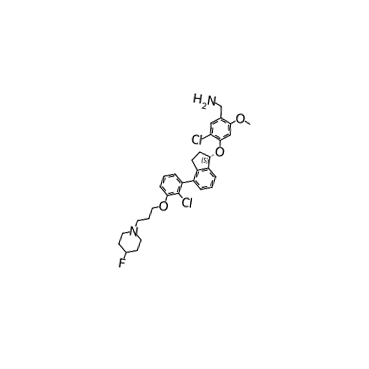 COc1cc(O[C@H]2CCc3c(-c4cccc(OCCCN5CCC(F)CC5)c4Cl)cccc32)c(Cl)cc1CN